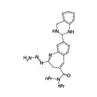 CCCN(CCC)C(=O)C1=Cc2ccc(C3NCc4ccccc4N3)cc2N=C(N=NN)C1